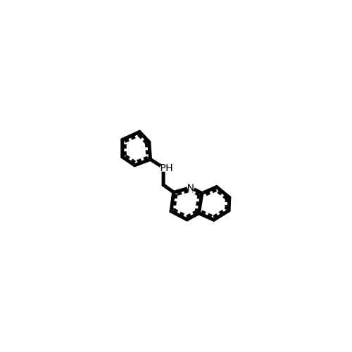 c1ccc(PCc2ccc3ccccc3n2)cc1